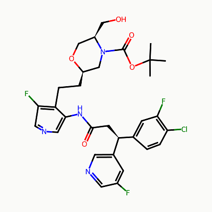 CC(C)(C)OC(=O)N1C[C@@H](CCc2c(F)cncc2NC(=O)C[C@H](c2cncc(F)c2)c2ccc(Cl)c(F)c2)OC[C@H]1CO